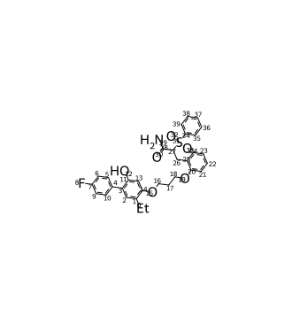 CCc1cc(-c2ccc(F)cc2)c(O)cc1OCCCOc1ccccc1CC(C(N)=O)S(=O)(=O)c1ccccc1